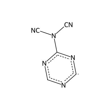 N#CN(C#N)c1n[c]ncn1